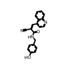 N#CC(=Cc1ccnc2ccccc12)C(=O)NCc1ccc(O)cc1